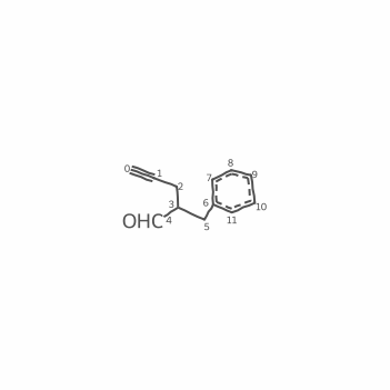 C#CCC(C=O)Cc1ccccc1